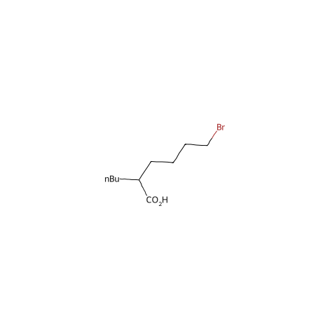 CCCCC(CCCCBr)C(=O)O